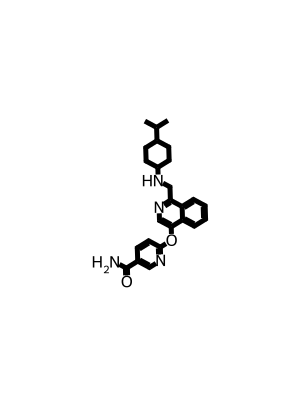 CC(C)C1CCC(NCc2ncc(Oc3ccc(C(N)=O)cn3)c3ccccc23)CC1